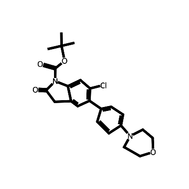 CC(C)(C)OC(=O)N1C(=O)Cc2cc(-c3ccc(N4CCOCC4)cc3)c(Cl)cc21